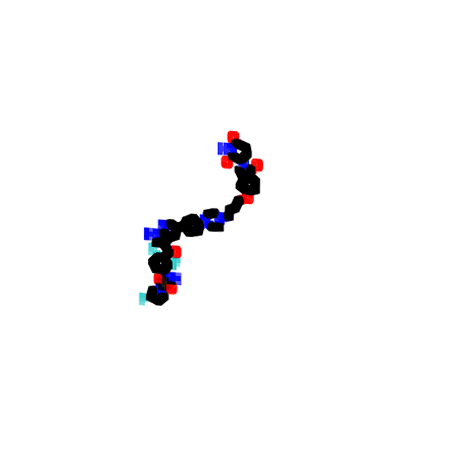 O=C1CCC(N2Cc3cc(OCCCCN4CCN(c5ccc(-c6cnc7[nH]cc(C(=O)c8c(F)ccc(NS(=O)(=O)N9CC[C@@H](F)C9)c8F)c7c6)cc5)CC4)ccc3C2=O)C(=O)N1